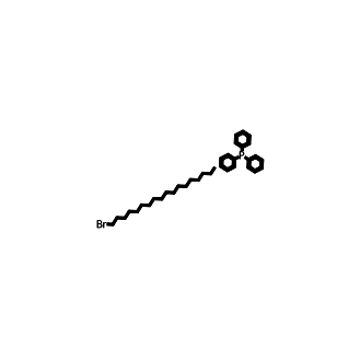 CCCCCCCCCCCCCCCCCCBr.c1ccc(P(c2ccccc2)c2ccccc2)cc1